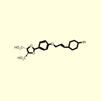 CCCC1CCC(C=CCOc2ccc(C3O[C@@H](C(=O)O)[C@H](C(=O)O)O3)cc2)CC1